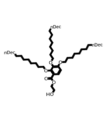 CCCCCCCCCCCCCCCCCCOc1ccc(C(=O)OCCO)c(OCCCCCCCCCCCCCCCCCC)c1OCCCCCCCCCCCCCCCCCC